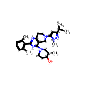 Cc1cccc(C)c1-c1nc2c(c(N3CCC(O)[C@H](C)C3)n1)CN(c1cc(C(C)C)nn1C)CC2